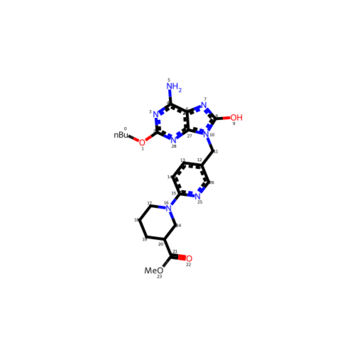 CCCCOc1nc(N)c2nc(O)n(Cc3ccc(N4CCCC(C(=O)OC)C4)nc3)c2n1